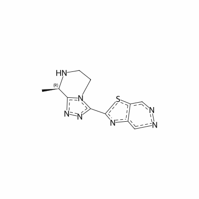 C[C@H]1NCCn2c(-c3nc4cnncc4s3)nnc21